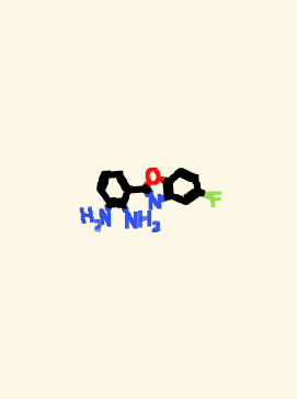 Nc1cccc(-c2nc3cc(F)ccc3o2)c1N